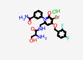 Cl.NC(=O)c1cccc(-n2c(CNC(=O)C(N)CO)cc(OCc3ccc(F)cc3F)c(Br)c2=O)c1